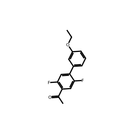 CCOc1cccc(-c2cc(F)c(C(C)=O)cc2F)c1